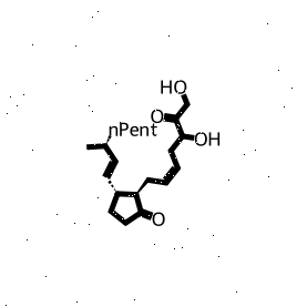 CCCCC[C@@H](C)/C=C/[C@H]1CCC(=O)[C@@H]1C/C=C\CC(O)C(=O)CO